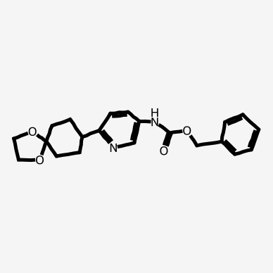 O=C(Nc1ccc(C2CCC3(CC2)OCCO3)nc1)OCc1ccccc1